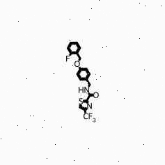 O=C(NCc1ccc(OCc2ccccc2F)cc1)c1nc(C(F)(F)F)cs1